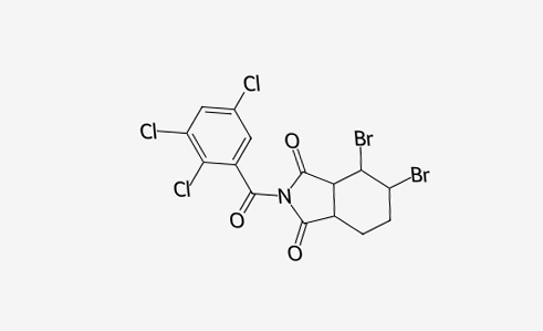 O=C(c1cc(Cl)cc(Cl)c1Cl)N1C(=O)C2CCC(Br)C(Br)C2C1=O